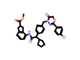 COC(=O)C1Cc2cccc(NC(=O)C(c3ccc(CN4N=C(c5ccc(Cl)cc5)OCC4=O)cc3)C3CCCC3)c2C1